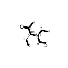 CC[C@H](C(C)=O)N(CC)CC